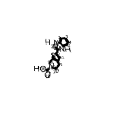 Nc1ccccc1NC(=O)c1cc2c(s1)CN(C(=O)O)CC2